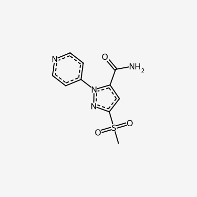 CS(=O)(=O)c1cc(C(N)=O)n(-c2ccncc2)n1